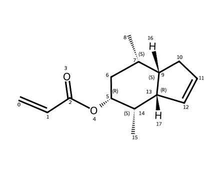 C=CC(=O)O[C@@H]1C[C@H](C)[C@@H]2CC=C[C@@H]2[C@@H]1C